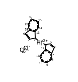 C1=C[CH]([Hf+2][CH]2C=Cc3ccccc32)c2ccccc21.[Cl-].[Cl-]